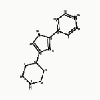 c1cc(-c2nc(C3CCNCC3)cs2)ccn1